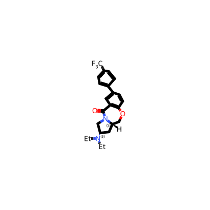 CCN(CC)[C@H]1C[C@H]2COc3ccc(-c4ccc(C(F)(F)F)cc4)cc3C(=O)N2C1